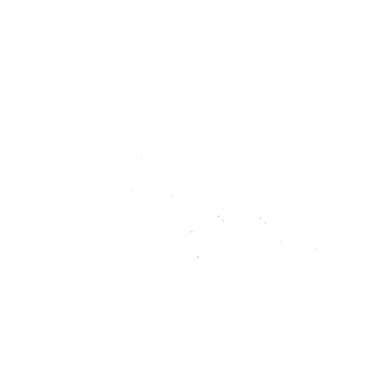 CCOCCOCc1csc(NC(=O)O)n1